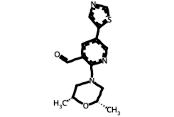 C[C@@H]1CN(c2ncc(-c3cncs3)cc2C=O)C[C@H](C)O1